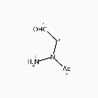 CC(=O)N(N)CC=O